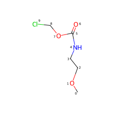 COCCNC(=O)OCCl